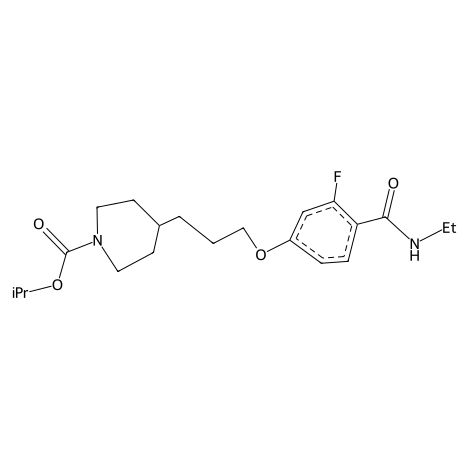 CCNC(=O)c1ccc(OCCCC2CCN(C(=O)OC(C)C)CC2)cc1F